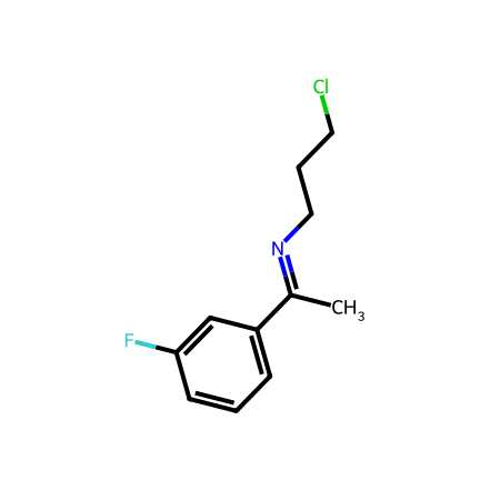 CC(=NCCCCl)c1cccc(F)c1